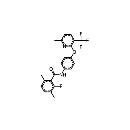 Cc1ccc(C(F)(F)F)c(Oc2ccc(NC(=O)c3c(C)ccc(C)c3F)cc2)n1